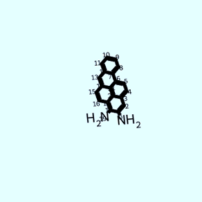 Nc1cc2ccc3c4ccccc4cc4ccc(c1N)c2c43